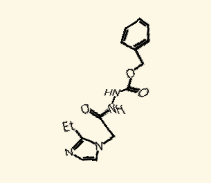 CCc1nccn1CC(=O)NNC(=O)OCc1ccccc1